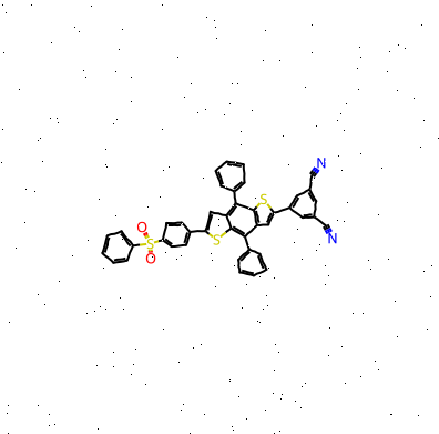 N#Cc1cc(C#N)cc(-c2cc3c(-c4ccccc4)c4sc(-c5ccc(S(=O)(=O)c6ccccc6)cc5)cc4c(-c4ccccc4)c3s2)c1